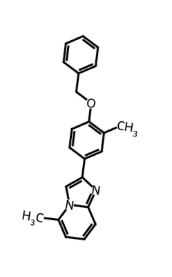 Cc1cc(-c2cn3c(C)cccc3n2)ccc1OCc1ccccc1